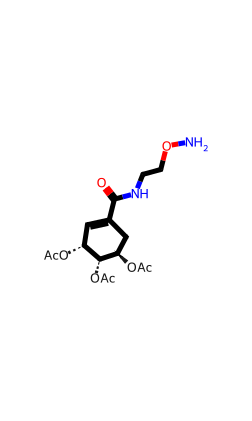 CC(=O)O[C@@H]1[C@H](OC(C)=O)C=C(C(=O)NCCON)C[C@H]1OC(C)=O